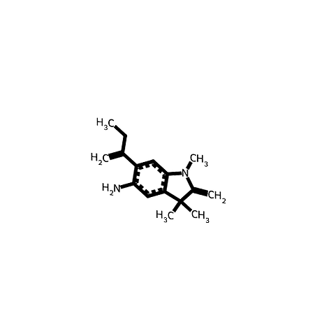 C=C(CC)c1cc2c(cc1N)C(C)(C)C(=C)N2C